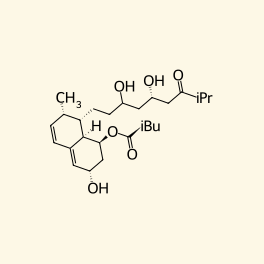 CC[C@H](C)C(=O)O[C@H]1C[C@H](O)C=C2C=C[C@H](C)[C@H](CCC(O)C[C@H](O)CC(=O)C(C)C)[C@H]21